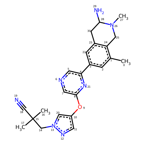 Cc1cc(-c2cncc(Oc3cnn(CC(C)(C)C#N)c3)n2)cc2c1CN(C)C(N)C2